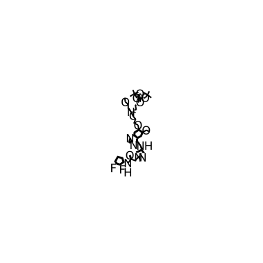 COCCN(CCCOc1cc2ncnc(Nc3cnn(CC(=O)Nc4cccc(F)c4F)c3)c2cc1OC)CCOP(=O)(OC(C)(C)C)OC(C)(C)C